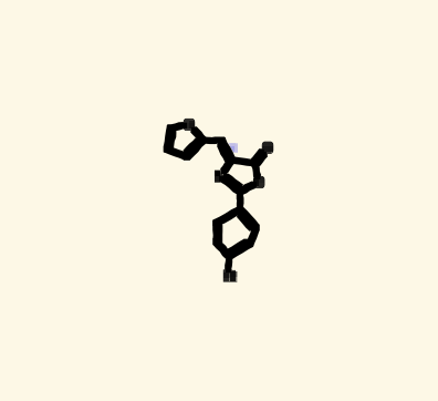 CCc1ccc(C2=N/C(=C\c3ccco3)C(=O)O2)cc1